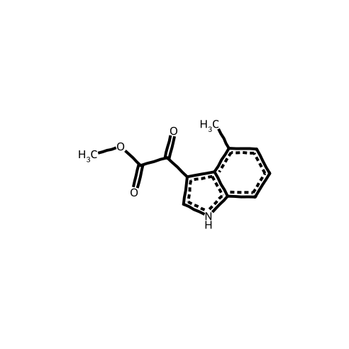 COC(=O)C(=O)c1c[nH]c2cccc(C)c12